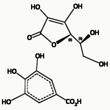 O=C(O)c1cc(O)c(O)c(O)c1.O=C1O[C@H]([C@@H](O)CO)C(O)=C1O